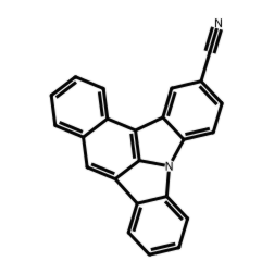 N#Cc1ccc2c(c1)c1c3ccccc3cc3c4ccccc4n2c31